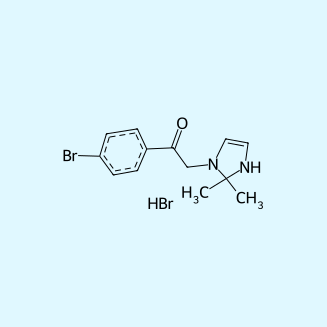 Br.CC1(C)NC=CN1CC(=O)c1ccc(Br)cc1